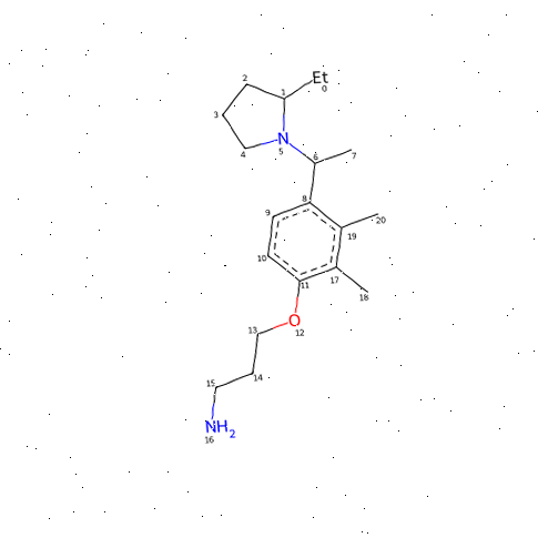 CCC1CCCN1C(C)c1ccc(OCCCN)c(C)c1C